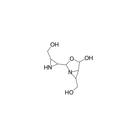 OCC1NC1C1OC(O)C2C(CO)N12